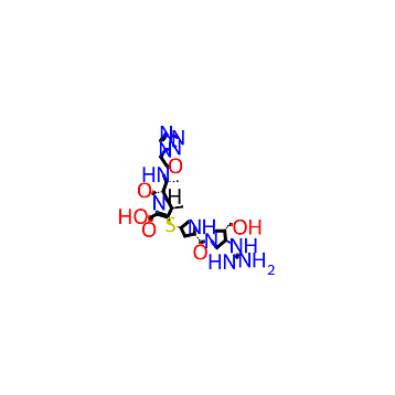 C[C@@H](NC(=O)Cn1cnnn1)[C@H]1C(=O)N2C(C(=O)O)=C(S[C@@H]3CN[C@H](C(=O)N4C[C@H](CO)[C@@H](NC(=N)N)C4)C3)[C@H](C)[C@H]12